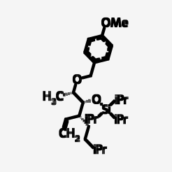 C=C[C@@H](CCC(C)C)[C@@H](O[Si](C(C)C)(C(C)C)C(C)C)[C@H](C)OCc1ccc(OC)cc1